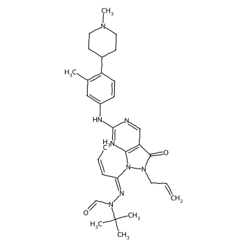 C=CCn1c(=O)c2cnc(Nc3ccc(C4CCN(C)CC4)c(C)c3)nc2n1C(/C=C\C)=N/N(C=O)C(C)(C)C